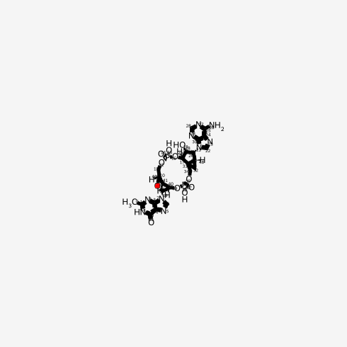 Cc1nc2c(ncn2[C@@H]2O[C@@H]3COP(=O)(O)O[C@H]4[C@@H](O)[C@H](n5cnc6c(N)ncnc65)[C@H]5CC54COP(=O)(O)O[C@@H]2[C@@H]3F)c(=O)[nH]1